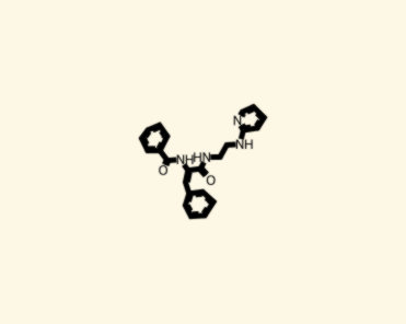 O=C(NCCNc1ccccn1)/C(=C\c1ccccc1)NC(=O)c1ccccc1